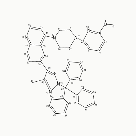 COc1cccc(N2CCN(c3ccnc4ccc(-c5cn(C(c6ccccc6)(c6ccccc6)c6ccccc6)nc5C)cc34)CC2)n1